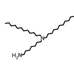 CCCCCCCCCCCCN(CCCCCCCN)CCCCCCCCCCCC